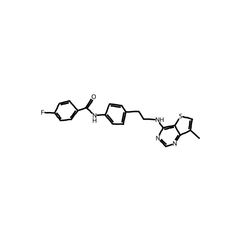 Cc1csc2c(NCCc3ccc(NC(=O)c4ccc(F)cc4)cc3)ncnc12